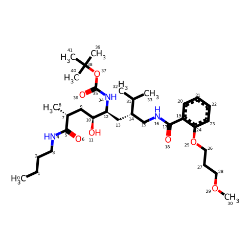 CCCCNC(=O)[C@H](C)C[C@H](O)[C@H](C[C@@H](CNC(=O)c1ccccc1OCCCOC)C(C)C)NC(=O)OC(C)(C)C